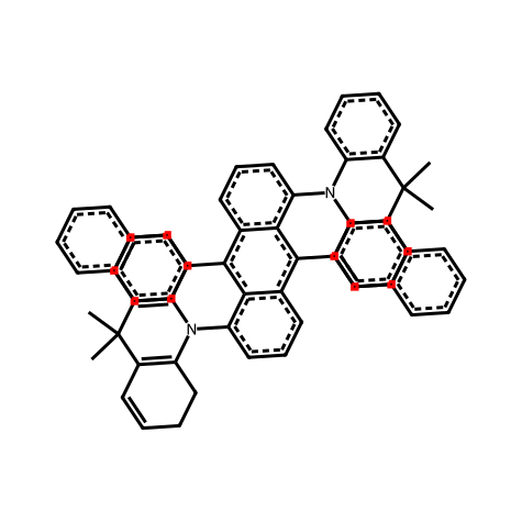 CC1(C)C2=C(CCC=C2)N(c2cccc3c(C4=Cc5ccccc5CC4)c4c(N5c6ccccc6C(C)(C)c6ccccc65)cccc4c(-c4ccc5ccccc5c4)c23)C2=C1C=CCC2